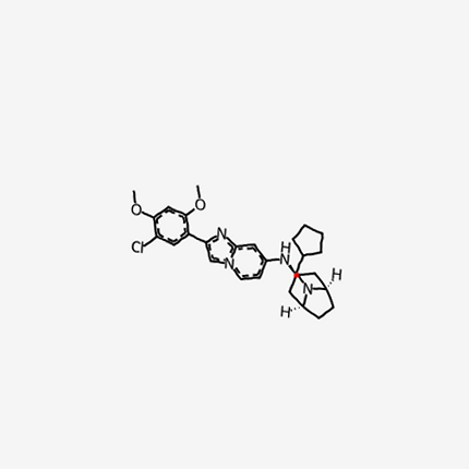 COc1cc(OC)c(-c2cn3ccc(N[C@H]4C[C@H]5CC[C@@H](C4)N5CC4CCCC4)cc3n2)cc1Cl